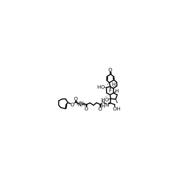 C[C@@H]1C[C@H]2[C@@H]3CCC4=CC(=O)C=C[C@]4(C)[C@@]3(F)[C@@H](O)C[C@]2(C)[C@@]1(O)/C(CO)=N\NC(=O)CCCC(=O)NNC(=O)OC1/C=C/CCCCC1